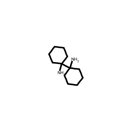 NC1(C2(N)CCCCC2)CCCCC1